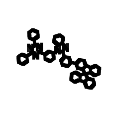 c1ccc(-c2nc(-c3ccccc3)nc(-c3cccc(-n4c(-c5cccc(-c6ccc7c(c6)C6(c8ccccc8-c8ccccc86)c6ccccc6-7)c5)nc5ccccc54)c3)n2)cc1